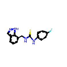 Fc1ccc(NC(=S)NCc2cccc3cn[nH]c23)cc1